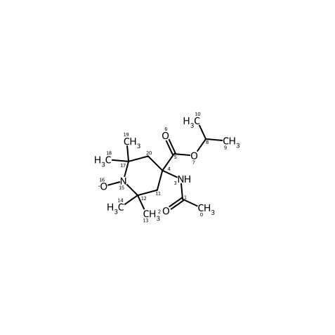 CC(=O)NC1(C(=O)OC(C)C)CC(C)(C)N([O])C(C)(C)C1